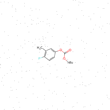 CCCCOC(=O)Oc1ccc(F)c(C)c1